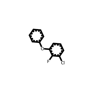 Fc1c(Oc2ccccc2)[c]ccc1Cl